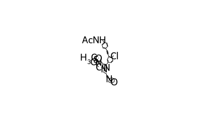 CC(=O)Nc1ccc(C#Cc2cc(-c3nn(CCCN4CCOCC4)c4c3CN(S(C)(=O)=O)CC4)ccc2Cl)cc1